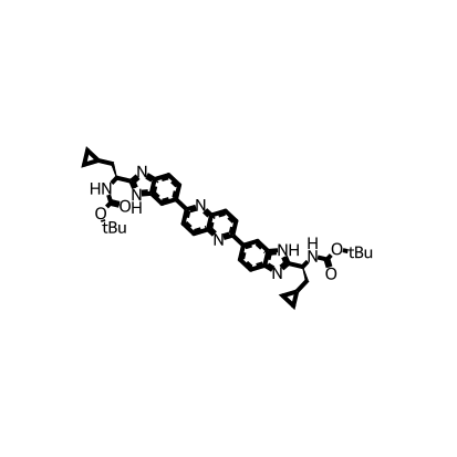 CC(C)(C)OC(=O)N[C@@H](CC1CC1)c1nc2ccc(-c3ccc4nc(-c5ccc6nc([C@H](CC7CC7)NC(=O)OC(C)(C)C)[nH]c6c5)ccc4n3)cc2[nH]1